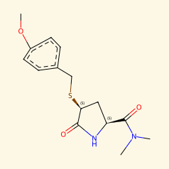 COc1ccc(CS[C@H]2C[C@@H](C(=O)N(C)C)NC2=O)cc1